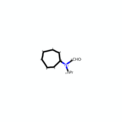 CCCN([C]=O)C1CCCCCC1